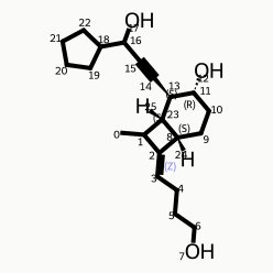 CC1/C(=C/CCCO)[C@H]2CC[C@@H](O)[C@H](C#CC(O)C3CCCC3)[C@@H]12